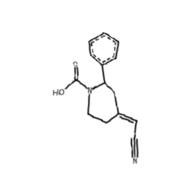 N#CC=C1CCN(C(=O)O)C(c2ccccc2)C1